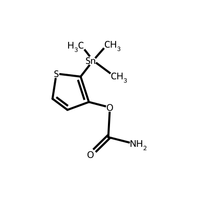 [CH3][Sn]([CH3])([CH3])[c]1sccc1OC(N)=O